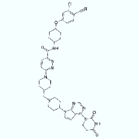 N#Cc1ccc(OC2CCC(NC(=O)c3ccc(N4CCC(CN5CCC(n6ccc7c(N8CCC(=O)NC8=O)ncnc76)CC5)CC4)nn3)CC2)cc1Cl